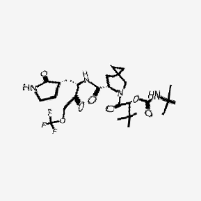 CC(C)(C)NC(=O)O[C@@H](C(=O)N1CC2(CC2)C[C@H]1C(=O)N[C@@H](C[C@@H]1CCNC1=O)C(=O)COC(F)(F)F)C(C)(C)C